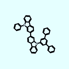 C1=CC2c3ccccc3N(c3cc(-c4ccccc4)cc(-c4ccccc4)c3)C2C=C1c1ccc2c3ccccc3n(-c3ccccc3)c2c1